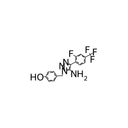 Nc1c(-c2ccc(C(F)(F)F)cc2F)nnn1Cc1ccc(O)cc1